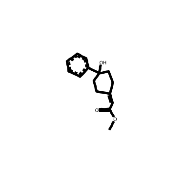 COC(=O)C=C1CCC(O)(c2ccccc2)CC1